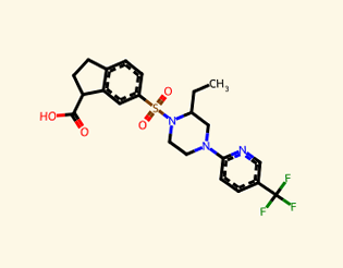 CCC1CN(c2ccc(C(F)(F)F)cn2)CCN1S(=O)(=O)c1ccc2c(c1)C(C(=O)O)CC2